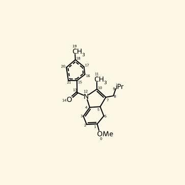 COC1=CC=C2C(C1)C(CC(C)C)=C(C)N2C(=O)c1ccc(C)cc1